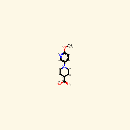 COc1ccc(N2CCC(C(=O)O)CC2)cn1